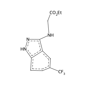 CCOC(=O)CNc1n[nH]c2ccc(C(F)(F)F)cc12